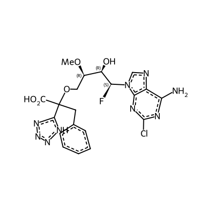 CO[C@H](COC(Cc1ccccc1)(C(=O)O)c1nnn[nH]1)[C@@H](O)[C@H](F)n1cnc2c(N)nc(Cl)nc21